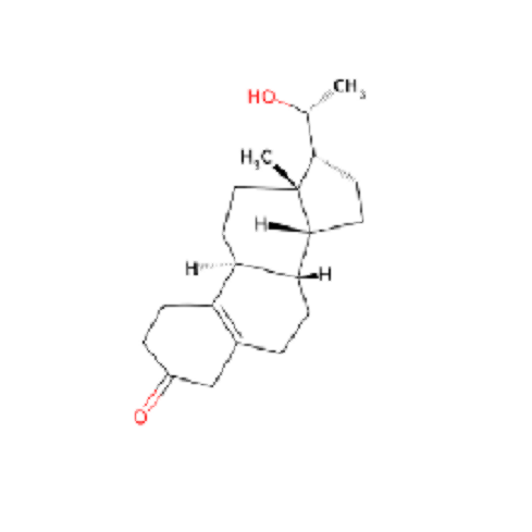 C[C@@H](O)[C@@H]1CC[C@@H]2[C@@H]3CCC4=C(CCC(=O)C4)[C@H]3CC[C@@]21C